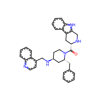 O=C([C@@H]1Cc2c([nH]c3ccccc23)CN1)N1CC[C@H](NCc2ccnc3ccccc23)C[C@H]1Cc1ccccc1